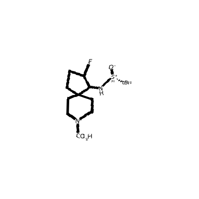 CC(C)(C)[S@@+]([O-])NC1C(F)CCC12CCN(C(=O)O)CC2